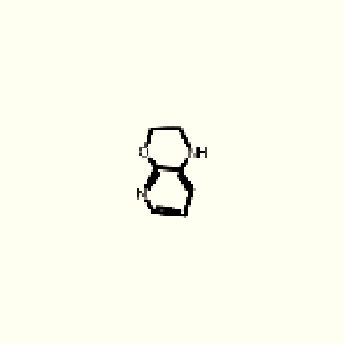 c1cnc2c(c1)NCCO2